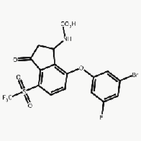 O=C(O)NC1CC(=O)c2c(S(=O)(=O)C(F)(F)F)ccc(Oc3cc(F)cc(Br)c3)c21